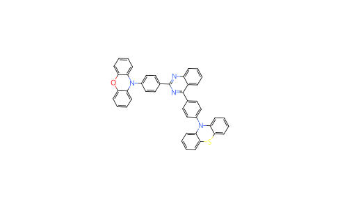 c1ccc2c(c1)Oc1ccccc1N2c1ccc(-c2nc(-c3ccc(N4c5ccccc5Sc5ccccc54)cc3)c3ccccc3n2)cc1